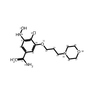 C=C(N)c1cc(NO)c(Cl)c(OCCCN2CCOCC2)c1